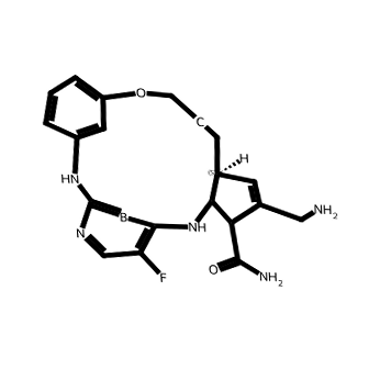 NCC1=C[C@@H]2CCCOc3cccc(c3)Nc3bc(c(F)cn3)NC2C1C(N)=O